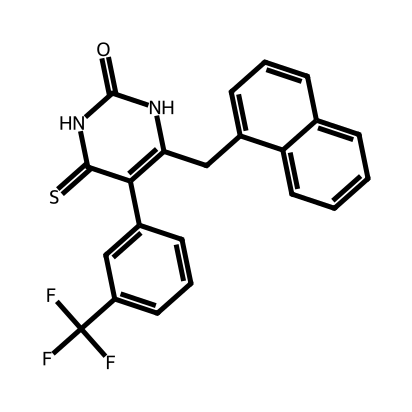 O=c1[nH]c(Cc2cccc3ccccc23)c(-c2cccc(C(F)(F)F)c2)c(=S)[nH]1